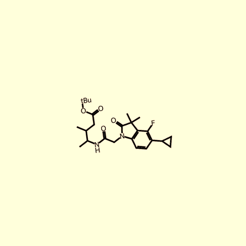 CC(CC(=O)OC(C)(C)C)C(C)NC(=O)CN1C(=O)C(C)(C)c2c1ccc(C1CC1)c2F